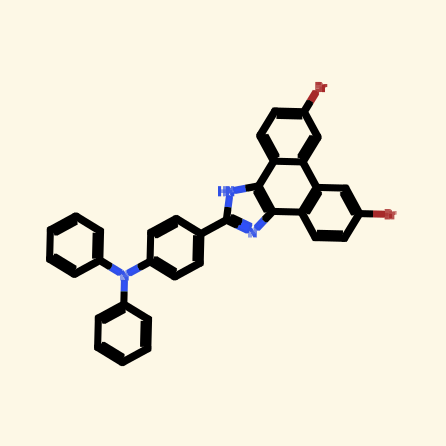 Brc1ccc2c(c1)c1cc(Br)ccc1c1[nH]c(-c3ccc(N(c4ccccc4)c4ccccc4)cc3)nc21